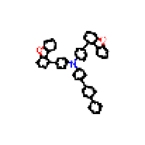 c1cccc(-c2ccc(-c3ccc(N(c4ccc(-c5cccc6oc7c(c56)CCC=C7)cc4)c4ccc(-c5cccc6oc7ccccc7c56)cc4)cc3)cc2)c#1